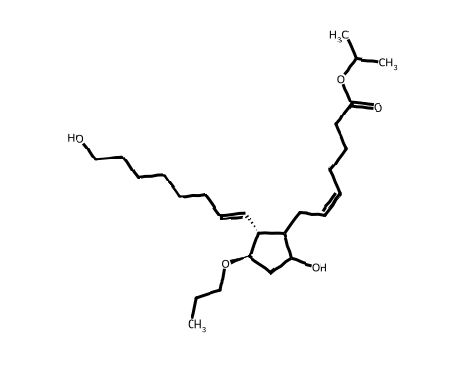 CCCO[C@@H]1CC(O)C(C/C=C\CCCC(=O)OC(C)C)[C@H]1/C=C/CCCCCCO